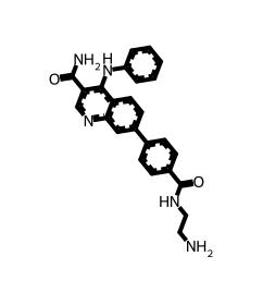 NCCNC(=O)c1ccc(-c2ccc3c(Nc4ccccc4)c(C(N)=O)cnc3c2)cc1